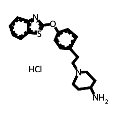 Cl.NC1CCN(CCc2ccc(Oc3nc4ccccc4s3)cc2)CC1